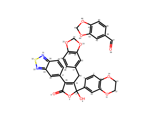 O=C1OC(O)(c2ccc3c(c2)OCCO3)C(Cc2ccc3c(c2)OCO3)=C1c1ccc2nsnc2c1.O=Cc1ccc2c(c1)OCO2